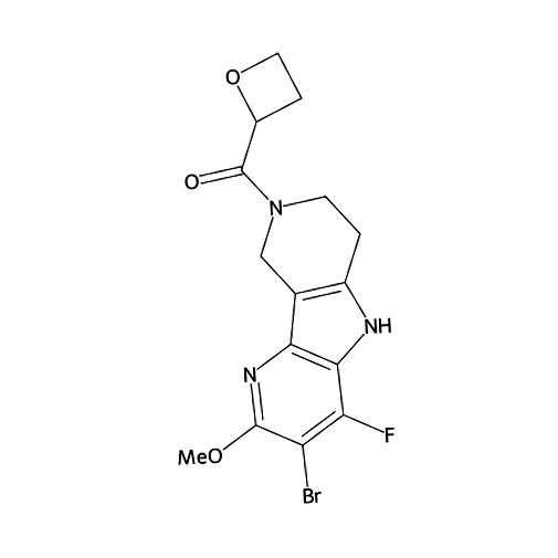 COc1nc2c3c([nH]c2c(F)c1Br)CCN(C(=O)C1CCO1)C3